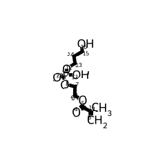 C=C(C)C(=O)OCCOP(=O)(O)OCCCO